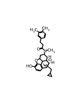 Cc1ccc(CCC(=O)N(C)C2CC3Oc4c(O)ccc5c4[C@@]34CCN(CC3CC3)[C@H](C5)[C@]4(O)C2)cc1C